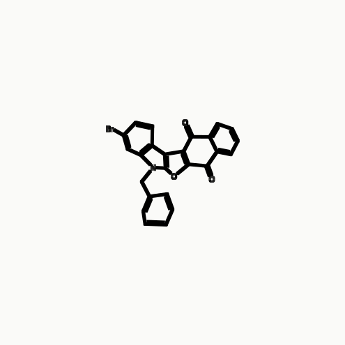 O=C1c2ccccc2C(=O)c2c1oc1c2c2ccc(Br)cc2n1Cc1ccccc1